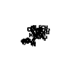 CN(CCCN1C(=O)CSC1c1cc(C(C)(C)C)c(O)c(C(C)(C)C)c1)CCn1cncc1-c1ccc2c(c1)OOC2